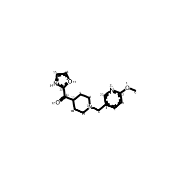 COc1ccc(CN2CCC(C(=O)c3ncco3)CC2)cn1